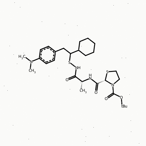 C[C@@H](NC(=O)[C@@H]1SCCN1C(=O)OC(C)(C)C)C(=O)NSC(Cc1ccc(N(C)C)cc1)C1CCCCC1